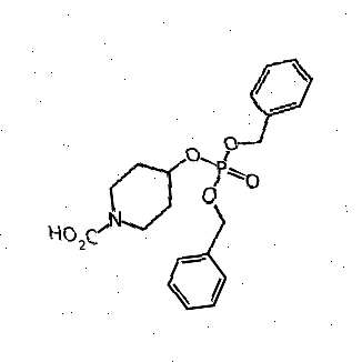 O=C(O)N1CCC(OP(=O)(OCc2ccccc2)OCc2ccccc2)CC1